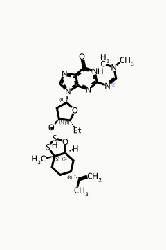 C=C(C)[C@@H]1CC[C@]2(C)S[SH](O[C@H]3C[C@H](n4cnc5c(=O)[nH]c(/N=C\N(C)C)nc54)O[C@@H]3CC)O[C@H]2C1